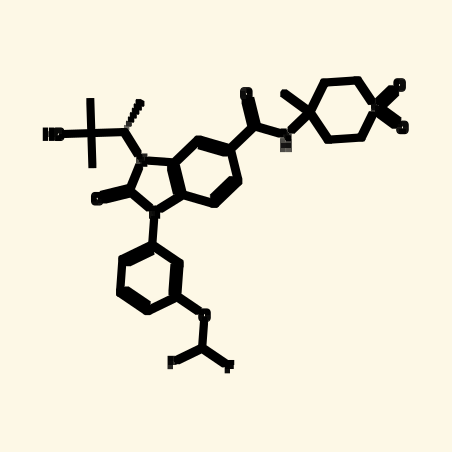 C[C@H](n1c(=O)n(-c2cccc(OC(F)F)c2)c2ccc(C(=O)NC3(C)CCS(=O)(=O)CC3)cc21)C(C)(C)O